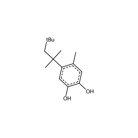 Cc1cc(O)c(O)cc1C(C)(C)CC(C)(C)C